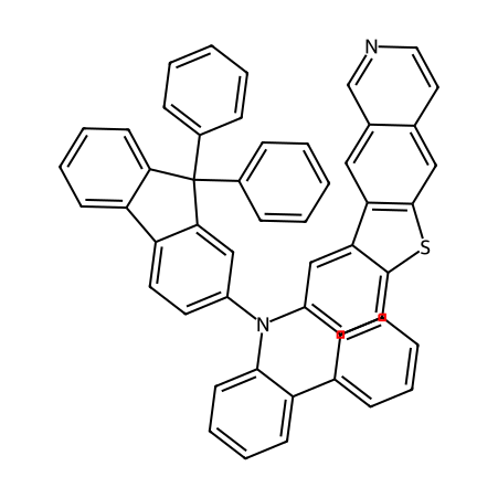 c1ccc(-c2ccccc2N(c2ccc3c(c2)C(c2ccccc2)(c2ccccc2)c2ccccc2-3)c2ccc3sc4cc5ccncc5cc4c3c2)cc1